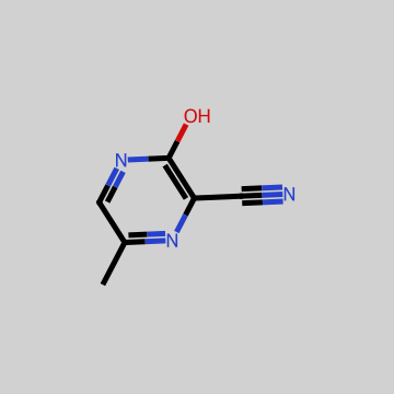 Cc1cnc(O)c(C#N)n1